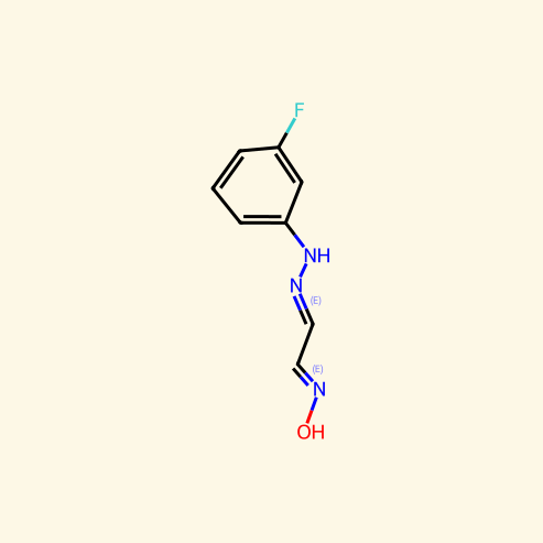 O/N=C/C=N/Nc1cccc(F)c1